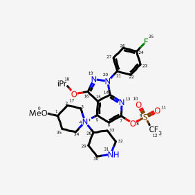 COC1CC[N+](c2cc(OS(=O)(=O)C(F)(F)F)nc3c2c(OC(C)C)nn3-c2ccc(F)cc2)(C2CCNCC2)CC1